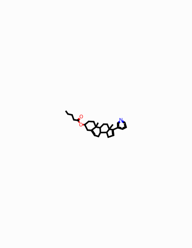 CCCCC(=O)OC1CCC2(C)C(=CCC3C2CCC2(C)C(c4cccnc4)=CCC32)C1